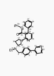 CCN(Cc1ccc(-c2cccnc2)cc1)[C@@H]1CCN(c2nccc(-c3ccccc3)c2C(=O)OC(C)C)C1